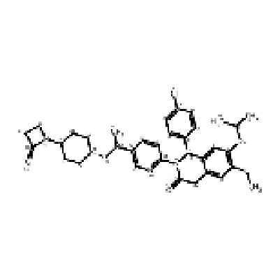 COc1cc2c(cc1OC(C)C)[C@H](c1ccc(Cl)cc1)N(c1ccc(N(C)C[C@H]3CC[C@H](N4CCC4=O)CC3)cn1)C(=O)C2